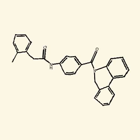 Cc1ccccc1CC(=O)Nc1ccc(C(=O)N2Cc3ccccc3-c3ccccc32)cc1